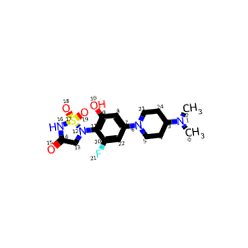 CN(C)C1CCN(c2cc(O)c(N3CC(=O)NS3(=O)=O)c(F)c2)CC1